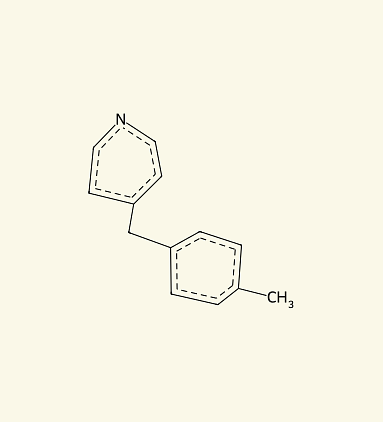 Cc1ccc(Cc2ccncc2)cc1